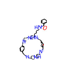 O=C(NCCCCC1CNCC/N=C/c2ccc(cc2)/C=N/CCNCC/N=C/C2=CC=C(/C=N/1)CC2)C1=CCCC=C1